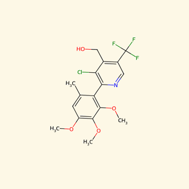 COc1cc(C)c(-c2ncc(C(F)(F)F)c(CO)c2Cl)c(OC)c1OC